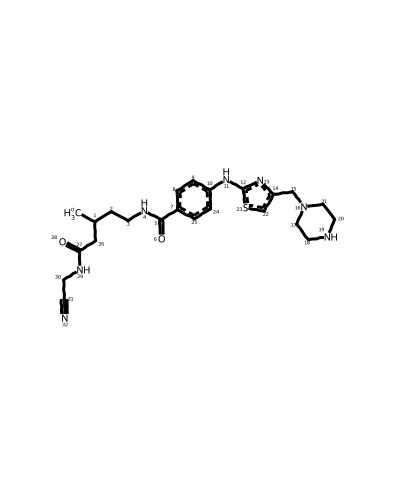 CC(CCNC(=O)c1ccc(Nc2nc(CN3CCNCC3)cs2)cc1)CC(=O)NCC#N